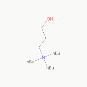 CCCC[N+](CCCC)(CCCC)CCCO